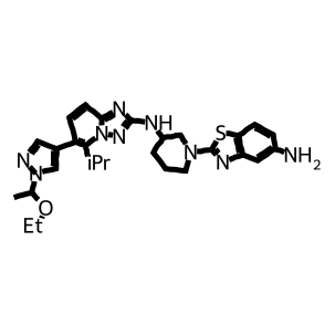 CCOC(C)n1cc(-c2ccc3nc(NC4CCCN(c5nc6cc(N)ccc6s5)C4)nn3c2C(C)C)cn1